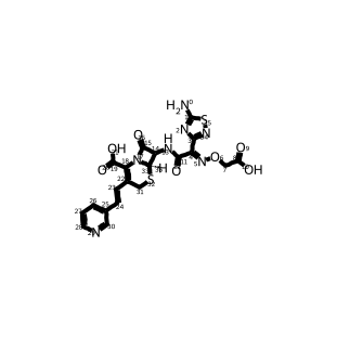 Nc1nc(/C(=N\OCC(=O)O)C(=O)NC2C(=O)N3C(C(=O)O)=C(/C=C/c4cccnc4)CS[C@H]23)ns1